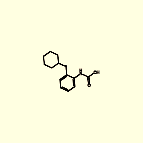 O=C(O)Nc1ccccc1SC1CCCCC1